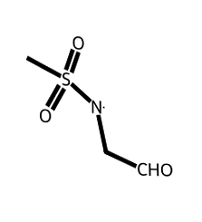 CS(=O)(=O)[N]CC=O